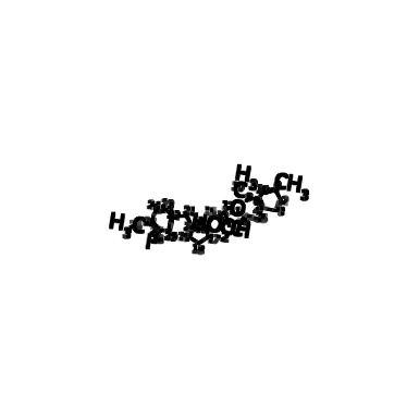 Cc1ccc(/C=C/C(=O)O)c([C@@H](C)OC[C@H](O)CN2CCC[C@H]2Cc2ccc(C)c(F)c2)c1